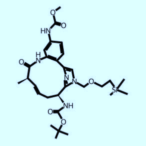 COC(=O)Nc1ccc2c(c1)NC(=O)[C@H](C)/C=C/C[C@H](NC(=O)OC(C)(C)C)c1nc-2cn1COCC[Si](C)(C)C